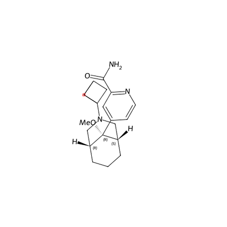 CO[C@@]1(c2ccnc(C(N)=O)c2)[C@@H]2CCC[C@H]1CN(C13CC(C1)C3)C2